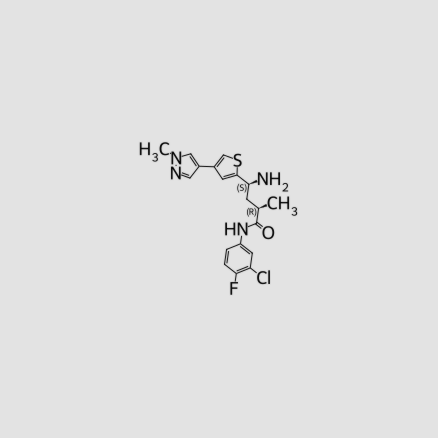 C[C@H](C[C@H](N)c1cc(-c2cnn(C)c2)cs1)C(=O)Nc1ccc(F)c(Cl)c1